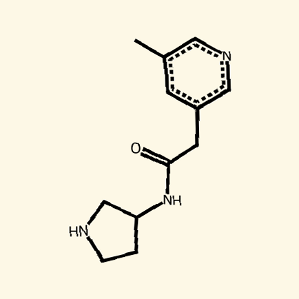 Cc1cncc(CC(=O)NC2CCNC2)c1